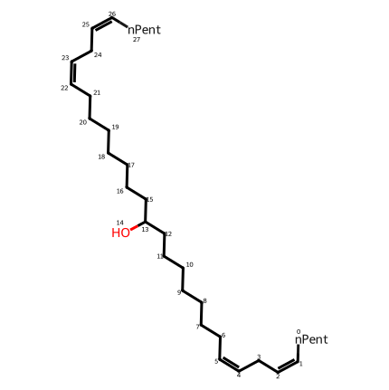 CCCCC/C=C\C/C=C\CCCCCCCC(O)CCCCCCC/C=C\C/C=C\CCCCC